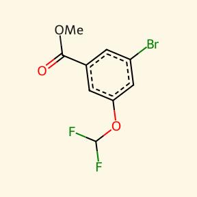 COC(=O)c1cc(Br)cc(OC(F)F)c1